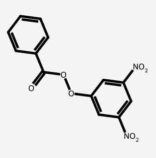 O=C(OOc1cc([N+](=O)[O-])cc([N+](=O)[O-])c1)c1ccccc1